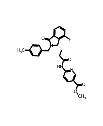 COC(=O)c1ccc(NC(=O)CC[C@H]2c3c(F)cccc3C(=O)N2Cc2ccc(C)cc2)nc1